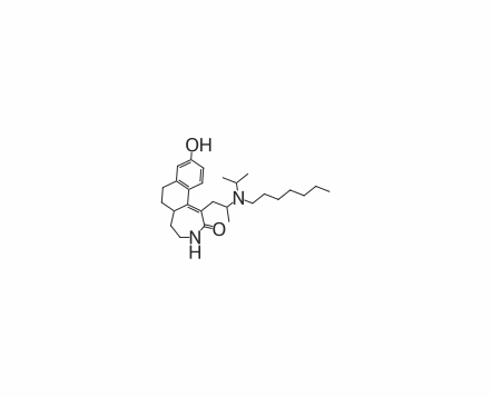 CCCCCCCN(C(C)C)C(C)CC1=C2c3ccc(O)cc3CCC2CCNC1=O